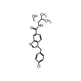 CC(C)[C@@H](CO)NC(=O)c1ccc2c(c1)ncn2Cc1ccc(Cl)cc1